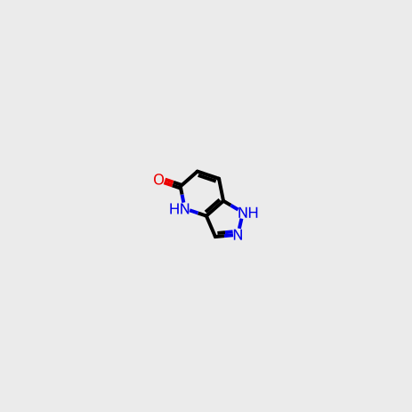 O=c1ccc2[nH]ncc2[nH]1